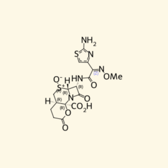 CO/N=C(\C(=O)N[C@@H]1C(=O)N2[C@@H]1[S@@+]([O-])C[C@@H]1CCC(=O)O[C@@]12C(=O)O)c1csc(N)n1